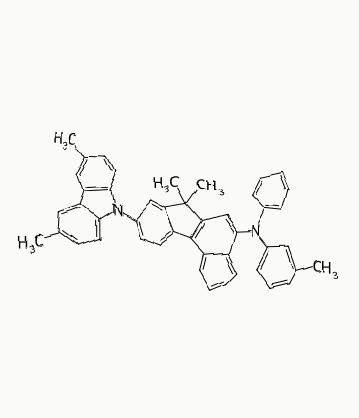 Cc1cccc(N(c2ccccc2)c2cc3c(c4ccccc24)-c2ccc(-n4c5ccc(C)cc5c5cc(C)ccc54)cc2C3(C)C)c1